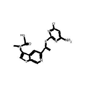 CC(Sc1nc(N)cc(Cl)n1)c1cc2c(N(C)C(=O)O)csc2cn1